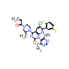 C=CC(=O)N1CCN(c2nc(=O)n(-c3c(C)ncnc3CCC)c3nc(-c4cc(F)ccc4F)c(Cl)cc23)[C@@H](C)C1